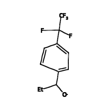 CCC([O])c1ccc(C(F)(F)C(F)(F)F)cc1